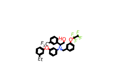 CCc1cccc(Oc2cccc(N(Cc3cccc(OC(F)(F)C(F)F)c3)C(CO)c3cccc(C(F)(F)F)c3)c2)c1